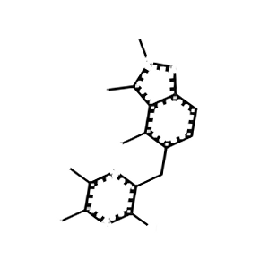 Cc1nc(Cc2ccc3nn(C)c(Cl)c3c2Cl)c(Cl)nc1Cl